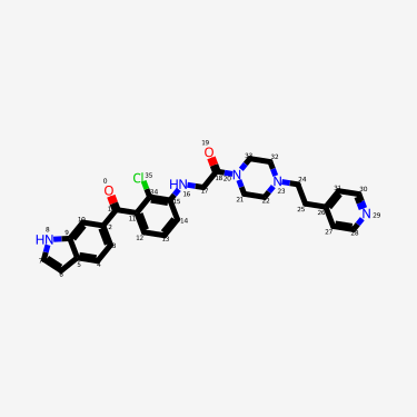 O=C(c1ccc2cc[nH]c2c1)c1cccc(NCC(=O)N2CCN(CCc3ccncc3)CC2)c1Cl